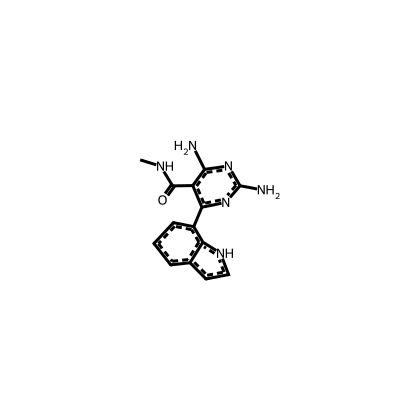 CNC(=O)c1c(N)nc(N)nc1-c1cccc2cc[nH]c12